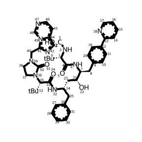 CC(C)(C)[C@H](NC(=O)O)C(=O)N[C@@H](Cc1ccc(-c2ccccn2)cc1)[C@H](O)C[C@H](Cc1ccccc1)NC(=O)[C@@H](N1CCN(Cc2ncc3ccncn23)C1=O)C(C)(C)C